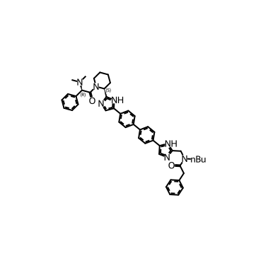 CCCCN(Cc1ncc(-c2ccc(-c3ccc(-c4cnc([C@@H]5CCCCN5C(=O)[C@@H](c5ccccc5)N(C)C)[nH]4)cc3)cc2)[nH]1)C(=O)Cc1ccccc1